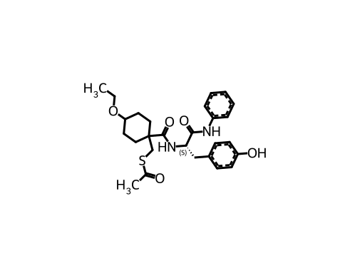 CCOC1CCC(CSC(C)=O)(C(=O)N[C@@H](Cc2ccc(O)cc2)C(=O)Nc2ccccc2)CC1